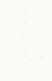 COc1ccc2ncc(CO)c([C@H](O)CCC3(C(=O)NO)CCN(CCNc4cc(F)cc(F)c4F)CC3)c2c1